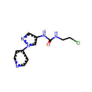 O=C(NCCCl)Nc1cnn(-c2ccncc2)c1